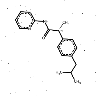 CC(C)Cc1ccc([C@@H](C)C(=O)Nc2ccccn2)cc1